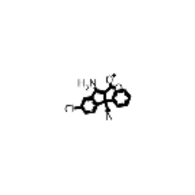 COC(=O)C1=C(N)c2cc(Cl)ccc2C1(C#N)c1ccccc1